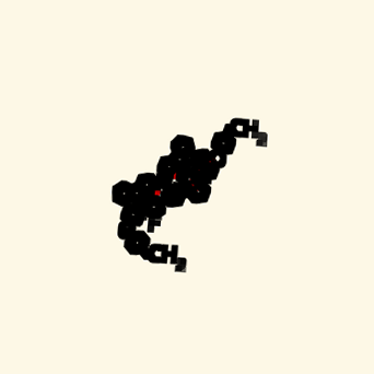 C=Cc1ccc(Oc2ccc(C3(c4c(F)c(F)cc(F)c4F)c4ccccc4-c4ccc(N(c5cccc(-c6cccc(-c7ccccc7)c6)c5)c5ccc6c(c5)C(c5ccc(Oc7ccc(C=C)cc7)cc5)(c5c(F)c(F)cc(F)c5F)c5ccccc5-6)cc43)cc2)cc1